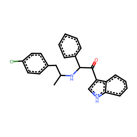 CC(Cc1ccc(Cl)cc1)NC(C(=O)c1c[nH]c2ccccc12)c1ccccc1